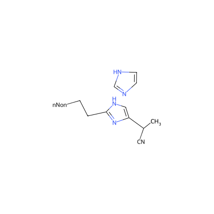 CCCCCCCCCCCc1nc(C(C)C#N)c[nH]1.c1c[nH]cn1